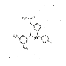 CC(NC(c1ccc(F)cc1)c1cccc(CC(N)=O)c1)c1cc([N+](=O)[O-])cc([N+](=O)[O-])c1